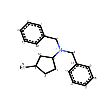 CCC1CCC(N(Cc2ccccc2)Cc2ccccc2)C1